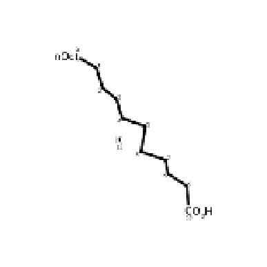 CCCCCCCCCCCCCCCCCC(=O)O.[K]